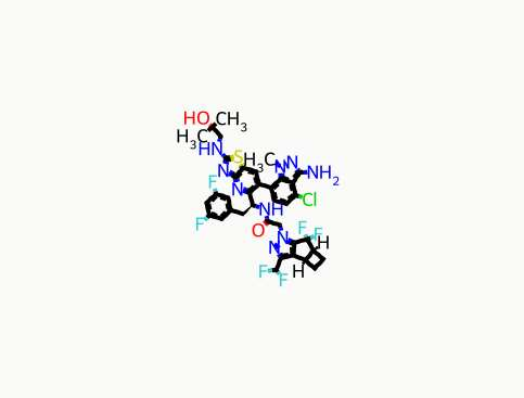 Cn1nc(N)c2c(Cl)ccc(-c3cc4sc(NCC(C)(C)O)nc4nc3[C@H](Cc3cc(F)cc(F)c3)NC(=O)Cn3nc(C(F)F)c4c3C(F)(F)[C@@H]3CC[C@H]43)c21